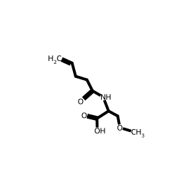 C=CCCC(=O)NC(COC)C(=O)O